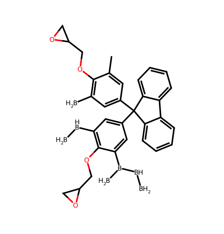 BBB(B)c1cc(C2(c3cc(B)c(OCC4CO4)c(C)c3)c3ccccc3-c3ccccc32)cc(BB)c1OCC1CO1